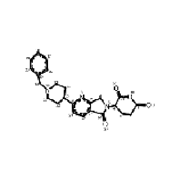 O=C1CCC(N2Cc3nc(C4CCN(Cc5ccccc5)CC4)ccc3C2=O)C(=O)O1